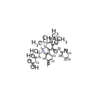 CC(C)c1c(/C=C/C(O)CC(O)CC(=O)O)c(-c2ccc(F)cc2)c(OCc2ccccn2)c2c1CC(C)(C)O2